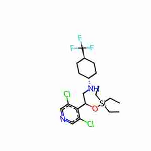 CC[Si](CC)(CC)OC(CN[C@H]1CC[C@H](C(F)(F)F)CC1)c1c(Cl)cncc1Cl